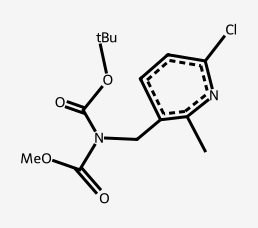 COC(=O)N(Cc1ccc(Cl)nc1C)C(=O)OC(C)(C)C